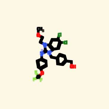 COCCn1/c(=N/c2ccc(OC(F)(F)F)cc2)n(Cc2ccc(CO)cc2)c2cc(Cl)c(Cl)cc21